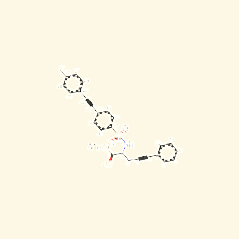 COC(=O)C(CC#Cc1ccccc1)NS(=O)(=O)c1ccc(C#Cc2ccc(C)cc2)cc1